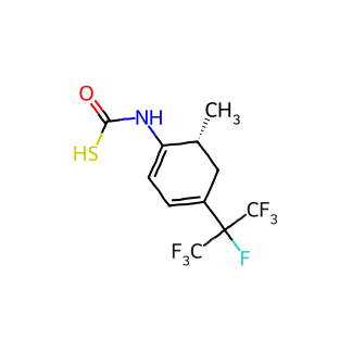 C[C@@H]1CC(C(F)(C(F)(F)F)C(F)(F)F)=CC=C1NC(=O)S